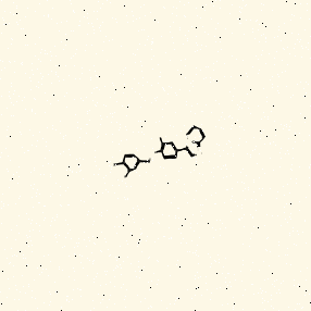 Cc1cc(-c2cnc3ccccn23)ccc1OCc1ccc(Cl)c(Cl)c1